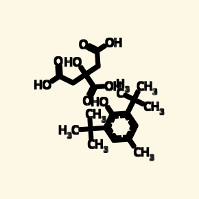 Cc1cc(C(C)(C)C)c(O)c(C(C)(C)C)c1.O=C(O)CC(O)(CC(=O)O)C(=O)O